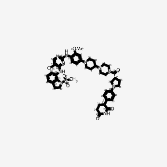 COc1cc(N2CCC(N3CCN(C(=O)[C@@H]4CCN(c5ccc(C6CCC(=O)NC6=O)cc5)C4)CC3)CC2)ccc1Nc1ncc(Cl)c(Nc2cccc3c2N(S(C)(=O)=O)CC3)n1